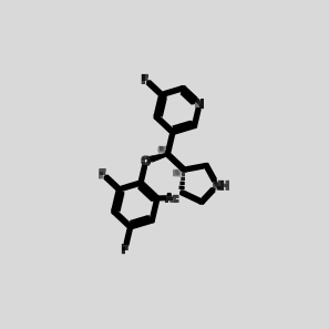 CC(=O)c1cc(F)cc(F)c1O[C@@H](c1cncc(F)c1)[C@H]1CCNC1